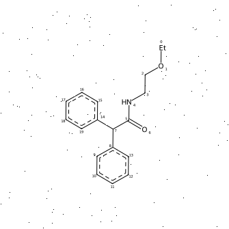 CCOCCNC(=O)C(c1ccccc1)c1ccccc1